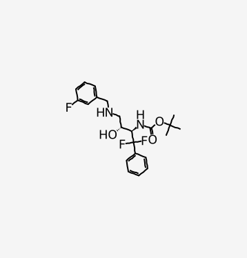 CC(C)(C)OC(=O)N[C@H]([C@H](O)CNCc1cccc(F)c1)C(F)(F)c1ccccc1